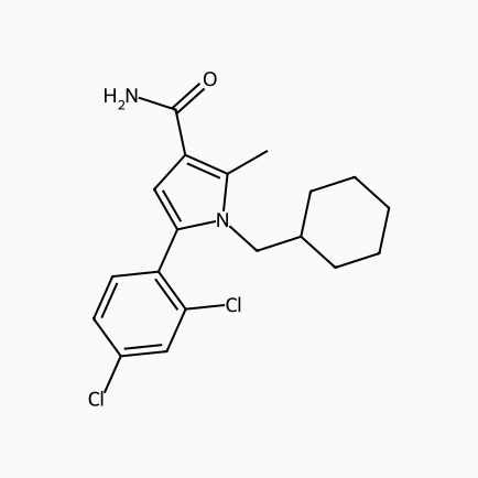 Cc1c(C(N)=O)cc(-c2ccc(Cl)cc2Cl)n1CC1CCCCC1